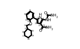 NC(=O)Nc1[nH]c(-c2ccccc2OCC2CCCCC2)cc1C(N)=O